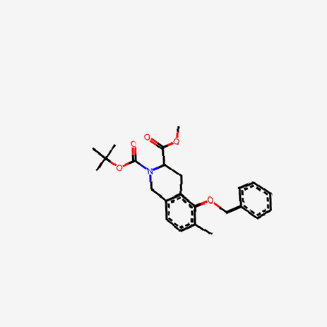 COC(=O)C1Cc2c(ccc(C)c2OCc2ccccc2)CN1C(=O)OC(C)(C)C